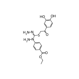 CCOC(=O)c1ccc(N(N)/C(=N\N)SCC(=O)c2ccc(O)c(O)c2)cc1